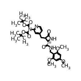 COc1cc(OC)c(CNC(=O)[C@H]2NC(=O)C2Cc2ccnc(N(C(=O)OC(C)(C)C)C(=O)OC(C)(C)C)c2)c(OC)c1